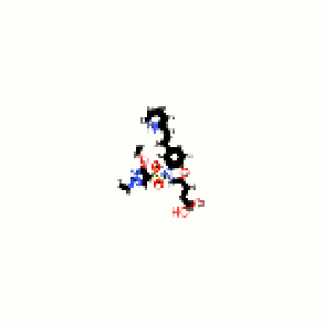 CCOc1nn(CC)cc1S(=O)(=O)N1CC(CCC(=O)O)Oc2ccc(C=Cc3ccccn3)cc21